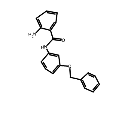 Nc1ccccc1C(=O)Nc1cccc(OCc2ccccc2)c1